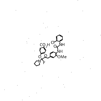 COc1cc(CC(=O)C(F)(Oc2ccc(C(=O)O)cc2)N2CCCC2)ccc1NC(=O)Nc1ccccc1Cl